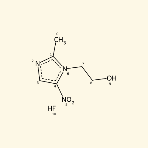 Cc1ncc([N+](=O)[O-])n1CCO.F